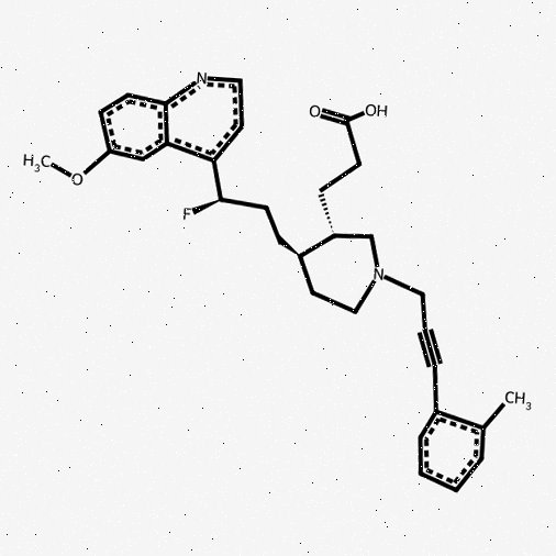 COc1ccc2nccc([C@H](F)CC[C@@H]3CCN(CC#Cc4ccccc4C)C[C@H]3CCC(=O)O)c2c1